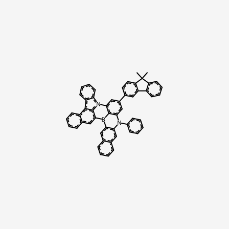 CC1(C)c2ccccc2-c2cc(-c3cc4c5c(c3)-n3c6ccccc6c6c7ccccc7cc(c63)B5c3cc5ccccc5cc3N4c3ccccc3)ccc21